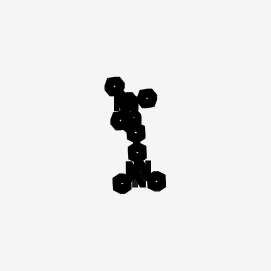 c1ccc(-c2cc(-c3ccccc3)nc(-c3cccc4c3oc3ccc(-c5ccc(-c6nc(-c7ccccc7)nc(-c7ccccc7)n6)cc5)cc34)n2)cc1